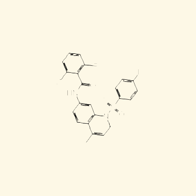 CC1=CCN(S(=O)(=O)c2ccc(F)cc2)c2cc(NC(=O)c3c(F)cccc3Cl)ccc21